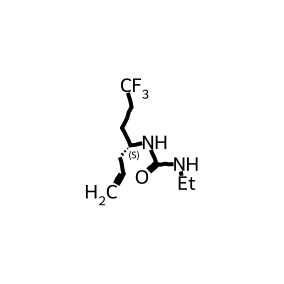 C=CC[C@H](CCC(F)(F)F)NC(=O)NCC